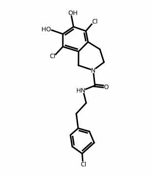 O=C(NCCc1ccc(Cl)cc1)N1CCc2c(Cl)c(O)c(O)c(Cl)c2C1